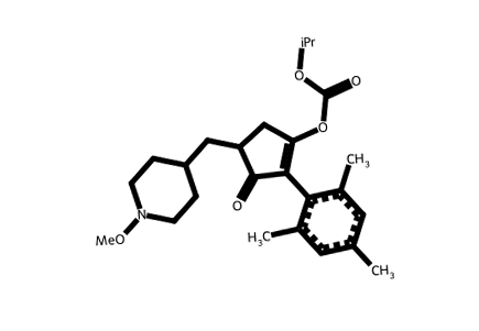 CON1CCC(CC2CC(OC(=O)OC(C)C)=C(c3c(C)cc(C)cc3C)C2=O)CC1